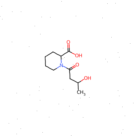 CC(O)CC(=O)N1CCCCC1C(=O)O